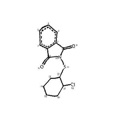 O=C1c2ccccc2C(=O)N1SC1CCCCC1Cl